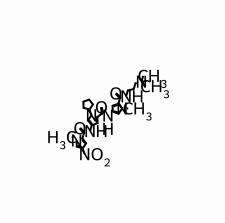 CN(C)CCCNC(=O)c1cc(NC(=O)c2cc(NC(=O)c3cc([N+](=O)[O-])cn3C)cn2C2CCCC2)cn1C